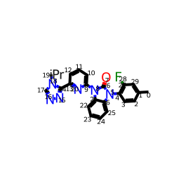 Cc1ccc(-n2c(=O)n(-c3cccc(-c4nncn4C(C)C)n3)c3ccccc32)c(F)c1